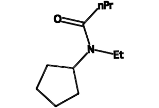 CCCC(=O)N(CC)C1CCCC1